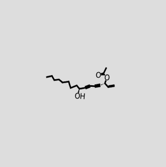 C=C[C@H](C#CC#C[C@@H](O)CCCCCCCC)OC(C)=O